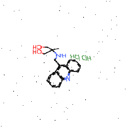 CC(CO)(CO)NCc1c2ccccc2nc2ccccc12.Cl.Cl